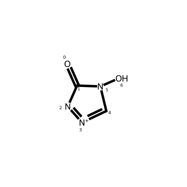 O=C1N=[N+]=CN1O